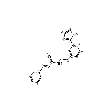 O=C(C=Cc1ccccc1)NCCc1cccc(-c2nccs2)c1